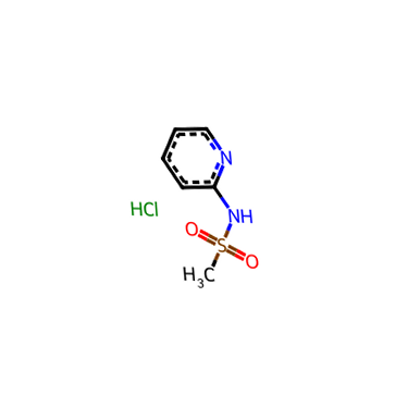 CS(=O)(=O)Nc1ccccn1.Cl